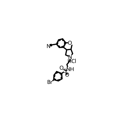 Cl.N#Cc1ccc2c(c1)C1CN(CCNS(=O)(=O)c3ccc(Br)cc3)CC1CO2